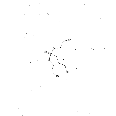 S=P(OCCS)(OCCS)SCCS